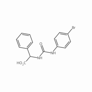 O=C(Nc1ccc(Br)cc1)NC(C(=O)O)c1ccccc1